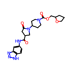 O=C(Nc1ccc2[nH]nnc2c1)C1CC(=O)N(C2CCN(C(=O)OCC3CCCO3)CC2)C1